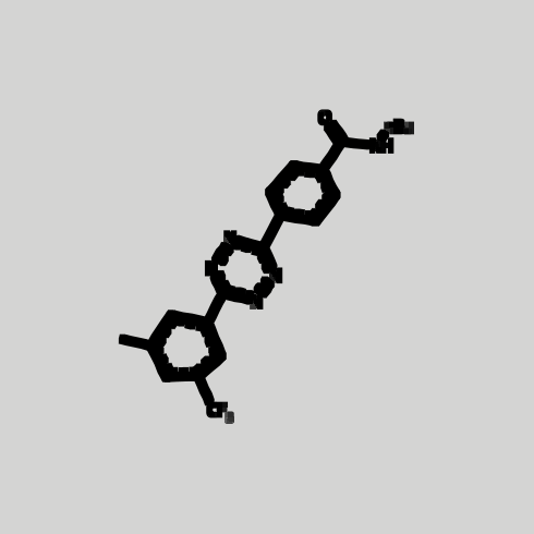 CCCCNC(=O)c1ccc(-c2nnc(-c3cc(C)cc(C(F)(F)F)c3)nn2)cc1